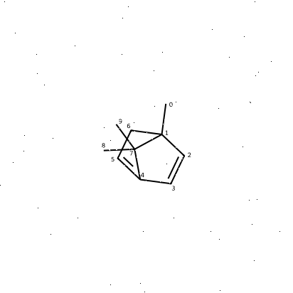 CC12C=CC(=CC1)C2(C)C